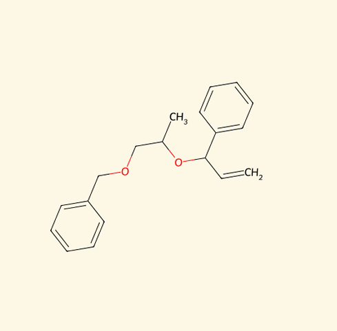 C=CC(OC(C)COCc1ccccc1)c1ccccc1